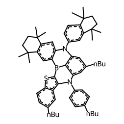 CCCCc1ccc(N2c3cc(CCCC)cc4c3B(c3cc5c(cc3N4c3ccc4c(c3)C(C)(C)CCC4(C)C)C(C)(C)CCC5(C)C)c3sc4ccc(CCCC)cc4c32)cc1